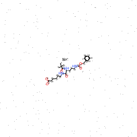 CC(C)(C)C(=O)N[C@@H](CCCNC(=O)OCc1ccccc1)C(=O)NCCCCCC(=O)[O-].[Na+]